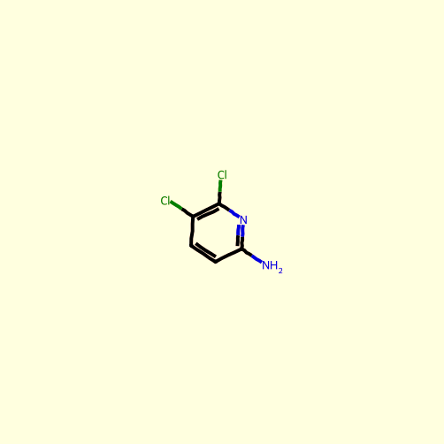 Nc1ccc(Cl)c(Cl)n1